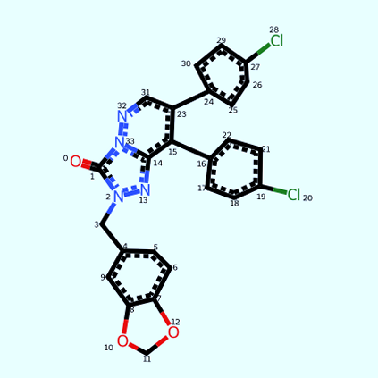 O=c1n(Cc2ccc3c(c2)OCO3)nc2c(-c3ccc(Cl)cc3)c(-c3ccc(Cl)cc3)cnn12